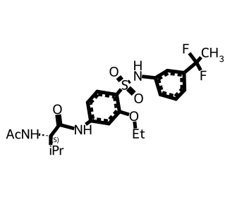 CCOc1cc(NC(=O)[C@@H](NC(C)=O)C(C)C)ccc1S(=O)(=O)Nc1cccc(C(C)(F)F)c1